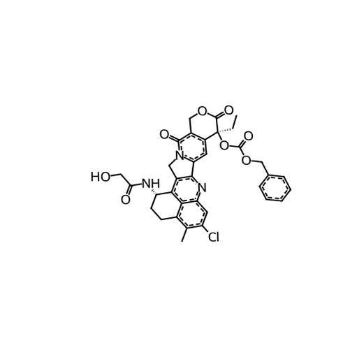 CC[C@@]1(OC(=O)OCc2ccccc2)C(=O)OCc2c1cc1n(c2=O)Cc2c-1nc1cc(Cl)c(C)c3c1c2[C@@H](NC(=O)CO)CC3